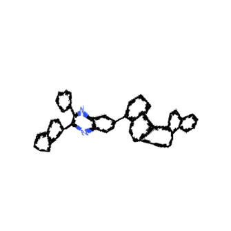 c1ccc(-c2nc3cc(-c4cccc5c4ccc4ccc6c7ccccc7ccc6c45)ccc3nc2-c2ccc3ccccc3c2)cc1